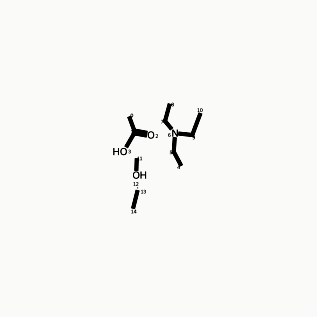 CC(=O)O.CCN(CC)CC.CO.[CH2]C